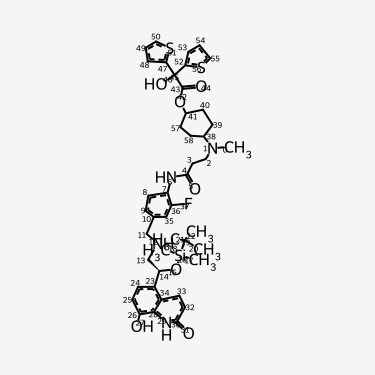 CN(CCC(=O)Nc1ccc(CNC[C@@H](O[Si](C)(C)C(C)(C)C)c2ccc(O)c3[nH]c(=O)ccc23)cc1F)C1CCC(OC(=O)C(O)(c2cccs2)c2cccs2)CC1